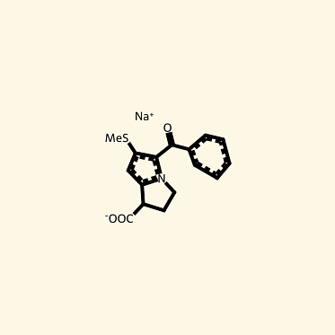 CSc1cc2n(c1C(=O)c1ccccc1)CCC2C(=O)[O-].[Na+]